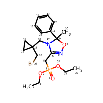 CCOP(=O)(CC1=NOC(C)(c2ccccc2)N1CC1(CBr)CC1)OCC